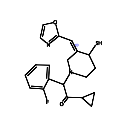 O=C(C1CC1)C(c1ccccc1F)N1CCC(S)/C(=C/c2ncco2)C1